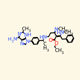 CCOC(=O)C(/C(CCN[C@@H](C)c1ccc(-n2cnc3c2NC(C)N=C3N)cc1)=N\C)=C(\Cc1ccccc1)NC